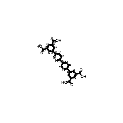 O=C(O)c1cc(C(=O)O)cc(-c2cnc(-c3ccc(-c4cc(C(=O)O)cc(C(=O)O)c4)nn3)cn2)c1